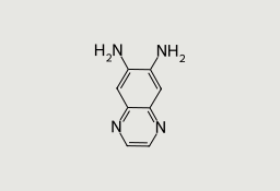 Nc1cc2nccnc2cc1N